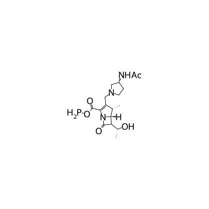 CC(=O)N[C@H]1CCN(CC2=C(C(=O)OP)N3C(=O)C([C@@H](C)O)[C@H]3[C@H]2C)C1